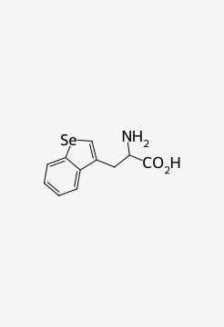 NC(Cc1c[se]c2ccccc12)C(=O)O